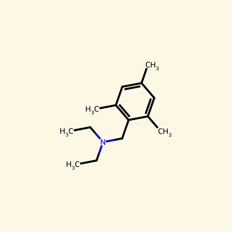 CCN(CC)Cc1c(C)cc(C)cc1C